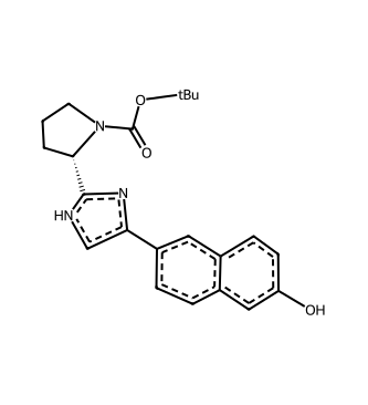 CC(C)(C)OC(=O)N1CCC[C@H]1c1nc(-c2ccc3cc(O)ccc3c2)c[nH]1